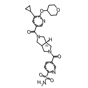 NS(=O)(=O)c1ccc(C(=O)N2CC3CN(C(=O)c4cnc(OC5CCOCC5)c(C5CC5)c4)C[C@@H]3C2)cn1